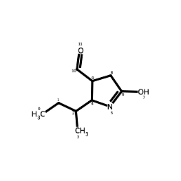 CCC(C)C1N=C(O)CC1C=O